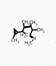 C/N=C/C(C)/C(C)=C(/C)C(C)C1C=C1C